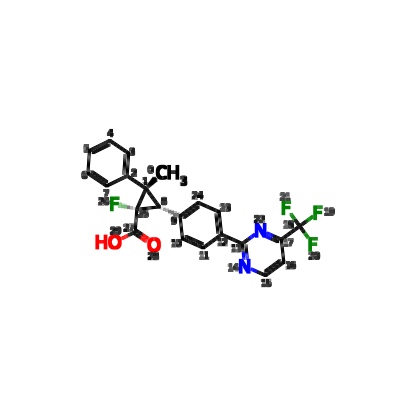 C[C@@]1(c2ccccc2)[C@H](c2ccc(-c3nccc(C(F)(F)F)n3)cc2)[C@@]1(F)C(=O)O